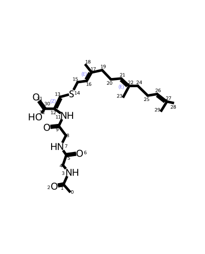 CC(=O)NCC(=O)NCC(=O)N/C(=C\SC/C=C(\C)CC/C=C(\C)CCC=C(C)C)C(=O)O